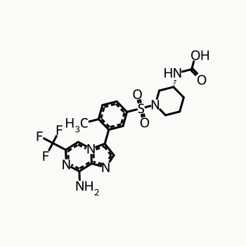 Cc1ccc(S(=O)(=O)N2CCC[C@@H](NC(=O)O)C2)cc1-c1cnc2c(N)nc(C(F)(F)F)cn12